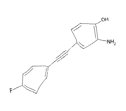 Nc1cc(C#Cc2ccc(F)cc2)ccc1O